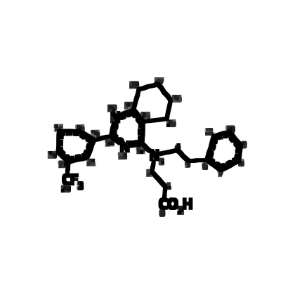 O=C(O)CCN(CCc1ccccc1)c1nc(-c2cccc(C(F)(F)F)c2)nc2c1CCCC2